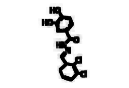 O=C(N/N=C/C1CC=CC(Cl)=C1Cl)c1ccc(O)c(O)c1